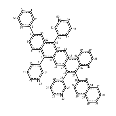 c1ccc(-c2ccc3c(-c4cccnc4)c4cc5c(-c6cccnc6)c(-c6ccc7ccccc7c6)c6ccccc6c5cc4c(-c4cccnc4)c3c2)cc1